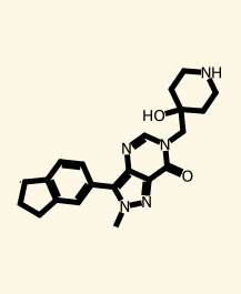 Cn1nc2c(=O)n(CC3(O)CCNCC3)cnc2c1-c1ccc2c(c1)CC[CH]2